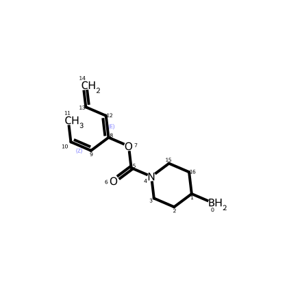 BC1CCN(C(=O)OC(/C=C\C)=C/C=C)CC1